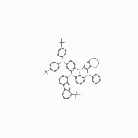 CC(C)(C)c1ccc(N(c2ccc(C(C)(C)C)cc2)c2ccc3c(c2)N(c2cccc4c2oc2c(C(C)(C)C)cccc24)c2cccc4c2B3c2oc3c(c2N4c2ccccc2)CCCC3)cc1